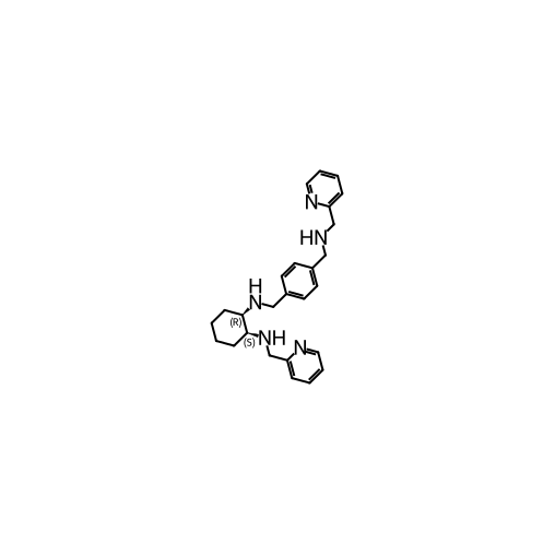 c1ccc(CNCc2ccc(CN[C@@H]3CCCC[C@@H]3NCc3ccccn3)cc2)nc1